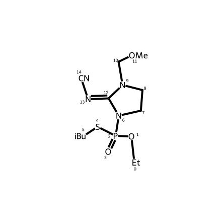 CCOP(=O)(SC(C)CC)N1CCN(COC)C1=NC#N